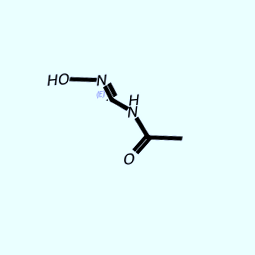 CC(=O)N/[C]=N/O